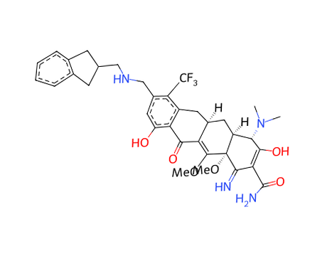 COC1=C2C(=O)c3c(O)cc(CNCC4Cc5ccccc5C4)c(C(F)(F)F)c3C[C@H]2C[C@H]2[C@H](N(C)C)C(O)=C(C(N)=O)C(=N)[C@@]12OC